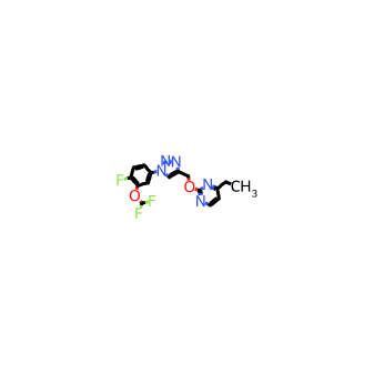 CCc1ccnc(OCc2cn(-c3ccc(F)c(OC(F)F)c3)nn2)n1